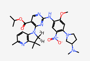 [2H]C1([2H])N(c2nc(Nc3cc([N+](=O)[O-])c(N4CC[C@@H](N(C)C)C4)cc3OC)ncc2C(=O)OC(C)C)c2ccc(C)nc2C1(C)C